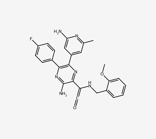 COc1ccccc1CNC(=C=O)c1nc(-c2cc(C)nc(N)c2)c(-c2ccc(F)cc2)nc1N